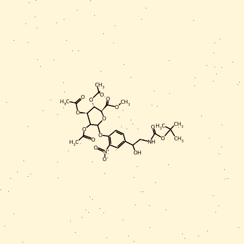 COC(=O)[C@H]1OC(Oc2ccc(C(O)CNC(=O)OC(C)(C)C)cc2[N+](=O)[O-])C(OC(C)=O)[C@@H](OC(C)=O)[C@@H]1OC(C)=O